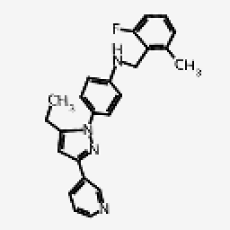 CCc1cc(-c2cccnc2)nn1-c1ccc(NCc2c(C)cccc2F)cc1